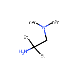 CCCN(CCC)CC(N)(CC)CC